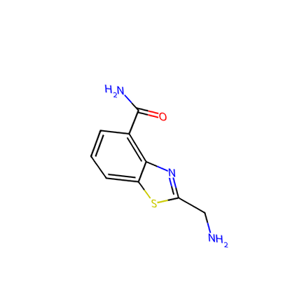 NCc1nc2c(C(N)=O)cccc2s1